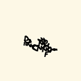 CC#Cc1cc(F)c2nc(N3CCC(NC4CCOCC4)CC3)c(-c3nc(C)no3)c(C)c2c1